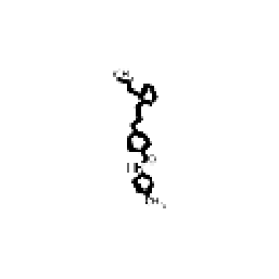 CCCCc1ccccc1CCCc1ccc(C(=O)Nc2ccc(C)cc2)cc1